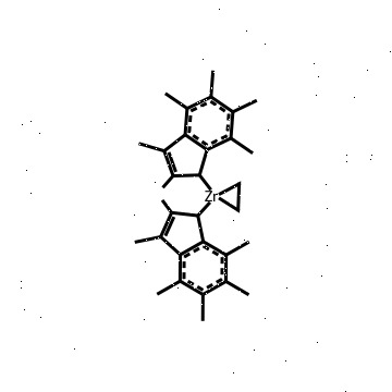 CC1=C(C)[CH]([Zr]2([CH]3C(C)=C(C)c4c(C)c(C)c(C)c(C)c43)[CH2][CH2]2)c2c(C)c(C)c(C)c(C)c21